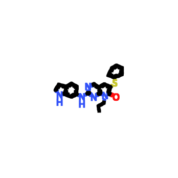 CCCn1c(=O)c(Sc2ccccc2)cc2cnc(Nc3ccc4cc[nH]c4c3)nc21